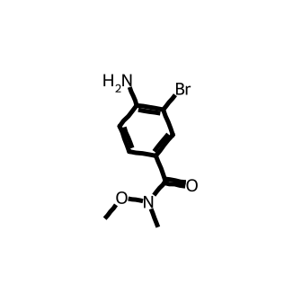 CON(C)C(=O)c1ccc(N)c(Br)c1